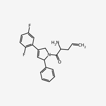 C=CCC(N)C(=O)N1CC(c2cc(F)ccc2F)=CC1c1ccccc1